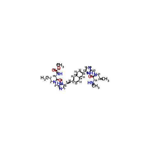 CCCN(Cc1ncc(C#Cc2ccc3cc(-c4cnc(CN(CCC)C(=O)CNC)[nH]4)ccc3c2)[nH]1)C(=O)CNC(=O)OC